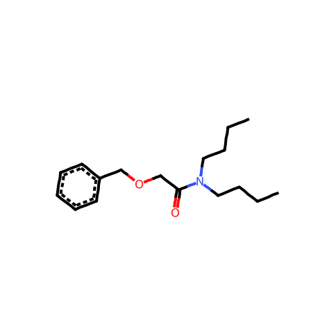 CCCCN(CCCC)C(=O)COCc1ccccc1